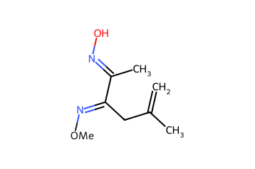 C=C(C)C/C(=N\OC)C(C)=NO